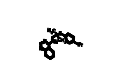 CC(C)c1ccc(SC(C)(C)CNc2ncnc3ccccc23)cc1